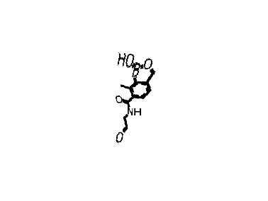 Cc1c(C(=O)NCC=O)ccc2c1B(O)OC2